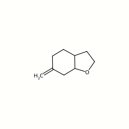 C=C1CCC2CCOC2C1